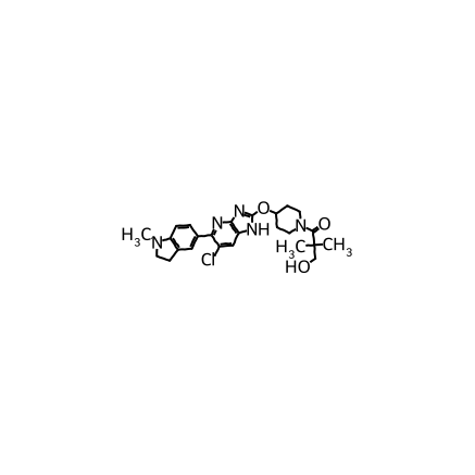 CN1CCc2cc(-c3nc4nc(OC5CCN(C(=O)C(C)(C)CO)CC5)[nH]c4cc3Cl)ccc21